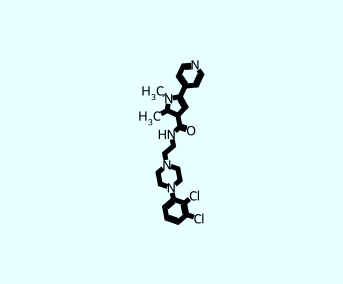 CC1C(C(=O)NCCN2CCN(c3cccc(Cl)c3Cl)CC2)C=C(c2ccncc2)N1C